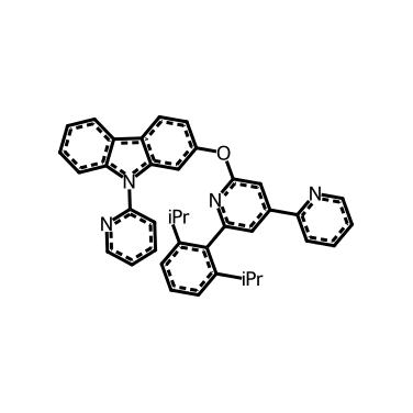 CC(C)c1cccc(C(C)C)c1-c1cc(-c2ccccn2)cc(Oc2ccc3c4ccccc4n(-c4ccccn4)c3c2)n1